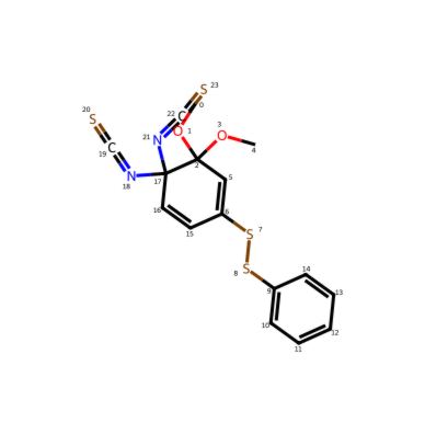 COC1(OC)C=C(SSc2ccccc2)C=CC1(N=C=S)N=C=S